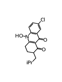 CC(C)CC1CCc2c(c(=O)c3cc(Cl)ccc3n2O)C1=O